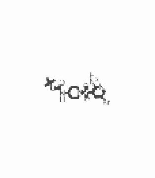 CC(C)(C)OC(=O)NC1CCN(S(=O)(=O)c2cc(Br)cnc2N)CC1